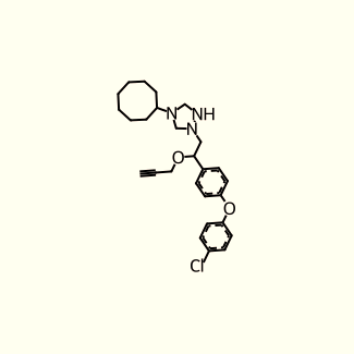 C#CCOC(CN1CN(C2CCCCCCC2)CN1)c1ccc(Oc2ccc(Cl)cc2)cc1